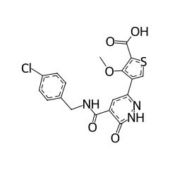 COc1c(-c2cc(C(=O)NCc3ccc(Cl)cc3)c(=O)[nH]n2)csc1C(=O)O